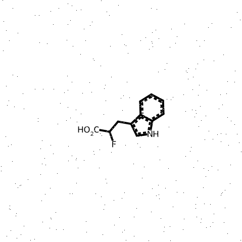 O=C(O)C(F)Cc1c[nH]c2ccccc12